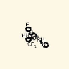 FC1=CCC([C@@H]2Nc3ccc(C(F)(F)F)cc3[C@H]3O[C@@H](CNCCN4CCCCC4)CC[C@H]32)C=C1